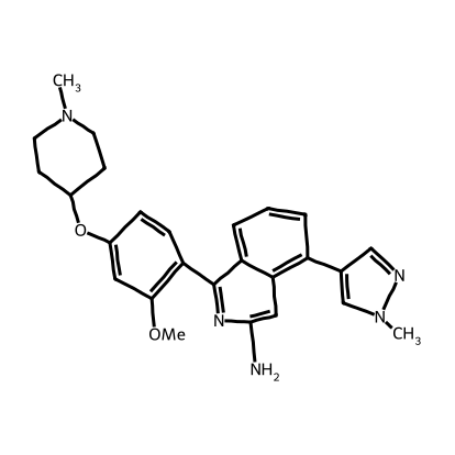 COc1cc(OC2CCN(C)CC2)ccc1-c1nc(N)cc2c(-c3cnn(C)c3)cccc12